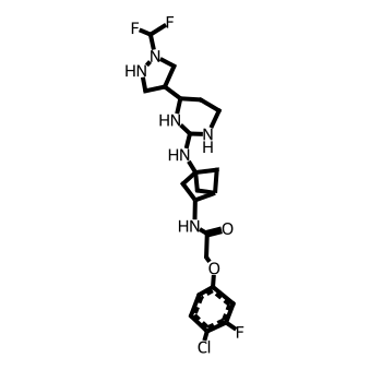 O=C(COc1ccc(Cl)c(F)c1)NC1CC2(NC3NCCC(C4CNN(C(F)F)C4)N3)CC1C2